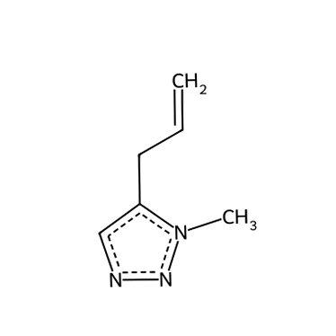 C=CCc1cnnn1C